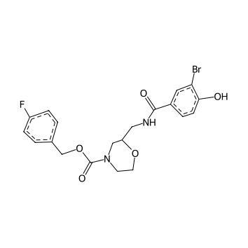 O=C(NCC1CN(C(=O)OCc2ccc(F)cc2)CCO1)c1ccc(O)c(Br)c1